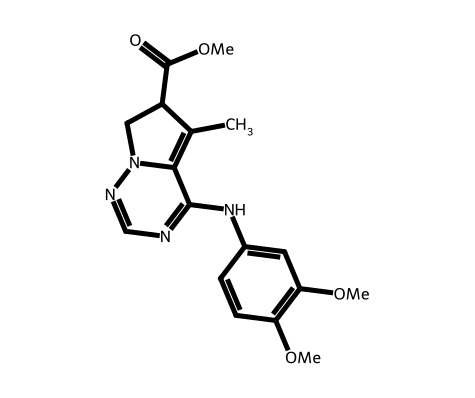 COC(=O)C1CN2N=CN=C(Nc3ccc(OC)c(OC)c3)C2=C1C